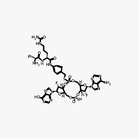 CC(C)[C@H](N)C(=O)N[C@@H](CCCNC(N)=O)C(=O)Nc1ccc(CSP2(=O)OC[C@H]3O[C@@H](n4cnc5c(N)ncnc54)[C@H](F)[C@@H]3OP(=O)(S)OC[C@H]3O[C@@H](n4cnc5c(O)ncnc54)[C@H](F)[C@@H]3O2)cc1